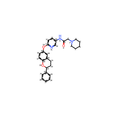 O=C(CN1CCCCC1)Nc1ccc(Oc2ccc3c(c2)CCC(c2ccccc2)O3)nc1